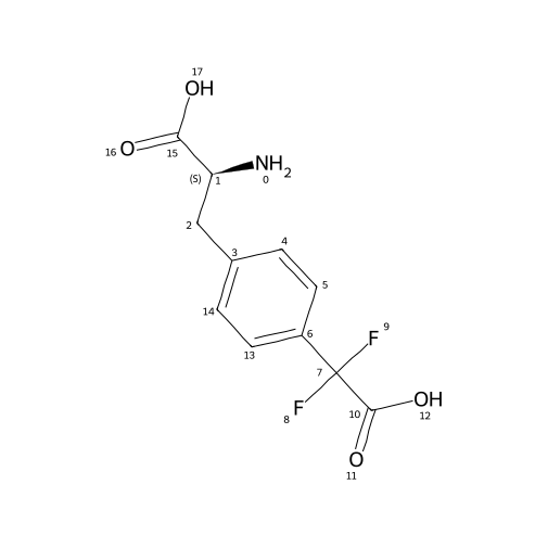 N[C@@H](Cc1ccc(C(F)(F)C(=O)O)cc1)C(=O)O